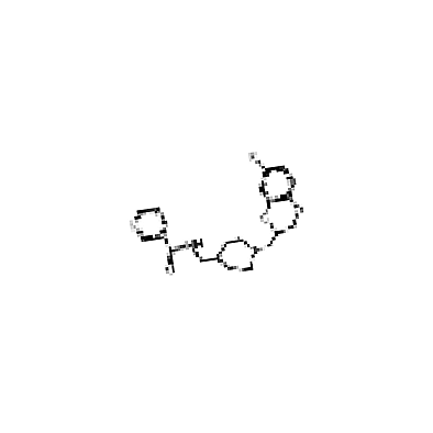 O=C(NCC1CCN(CC2COc3ccc(F)cc3O2)CC1)c1cccnc1